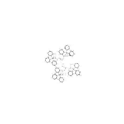 c1ccc(C(NCCN(CCCN(CCNC(c2ccccc2)(c2ccccc2)c2ccccc2)CCNC(c2ccccc2)(c2ccccc2)c2ccccc2)CCNC(c2ccccc2)(c2ccccc2)c2ccccc2)(c2ccccc2)c2ccccc2)cc1